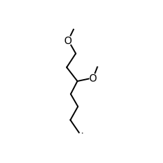 [CH2]CCCC(CCOC)OC